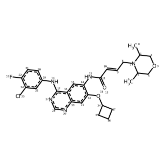 CC1COCC(C)N1CC=CC(=O)Nc1cc2c(Nc3ccc(F)c(Cl)c3)ncnc2cc1OC1CCC1